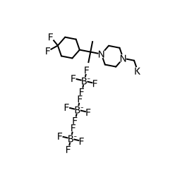 CC(C)(C1CCC(F)(F)CC1)N1CCN([CH2][K])CC1.F[B-](F)(F)F.F[B-](F)(F)F.F[B-](F)(F)F